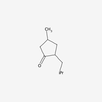 CC(C)CC1CC(C)CC1=O